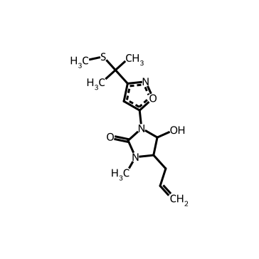 C=CCC1C(O)N(c2cc(C(C)(C)SC)no2)C(=O)N1C